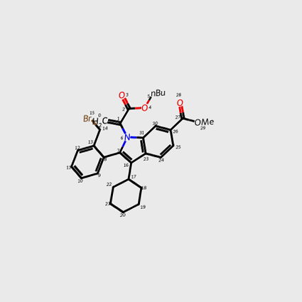 C=C(C(=O)OCCCC)n1c(-c2ccccc2CBr)c(C2CCCCC2)c2ccc(C(=O)OC)cc21